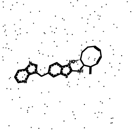 C=C1/C=C\C=C/CC[C@@H](O)[C@@H]1Nc1nc2ccc(Cn3cnc4cccnc43)cc2s1